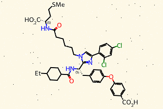 CCC1CCC(C(=O)N[C@@H](Cc2ccc(Oc3ccc(C(=O)O)cc3)cc2)c2nc(-c3ccc(Cl)cc3Cl)cn2CCCCCC(=O)N[C@@H](CCSC)C(=O)O)CC1